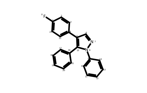 Fc1ccc(-c2cnn(-c3ccccc3)c2-c2ccccc2)cc1